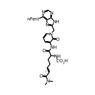 CCCCCc1ncnc2[nH]c(Cn3cccc(NC(=O)C(CC/C=C/C(=O)N(C)C)NC(=O)O)c3=O)nc12